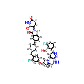 CC[C@@]12CNc3nnc(-c4cccc(F)c4O)cc3N1C[C@H](Oc1cnc(CN3CCC(c4ccc5c(c4)C(=O)N([C@H]4CCC(=O)NC4=O)C5)CC3)c(F)c1)C2